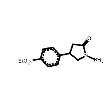 CCOC(=O)c1ccc(C2CC(=O)N(N)C2)cc1